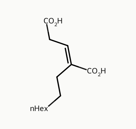 CCCCCCCC/C(=C\CC(=O)O)C(=O)O